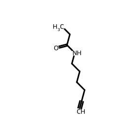 C#CCCCCNC(=O)CC